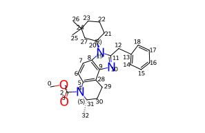 COC(=O)N1c2ccc3c(nc(Cc4ccccc4)n3[C@@H]3CCCC(C)(C)C3)c2CC[C@@H]1C